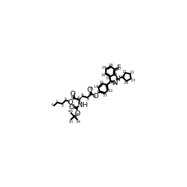 CCCCOC(=O)[C@@H](CCC(=O)Oc1ccc(-c2nn(C3CCCC3)c3c(F)cccc23)cc1)NC(=O)OC(C)(C)C